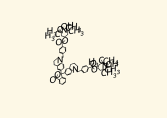 CC1(C)CC(OC(=O)c2ccc(CN3CCCc4cc(C5(c6ccc7c(c6)CCCN7Cc6ccc(C(=O)OC7CC(C)(C)N(O)C(C)(C)C7)cc6)OC(=O)c6ccccc65)ccc43)cc2)CC(C)(C)N1O